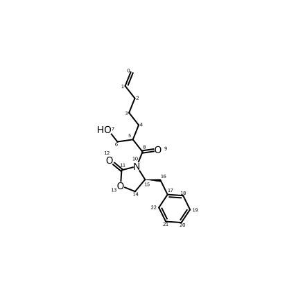 C=CCCCC(CO)C(=O)N1C(=O)OC[C@@H]1Cc1ccccc1